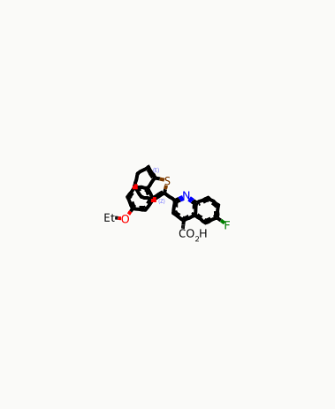 CCOc1ccc(/C2=C\CCC/C=C(/c3cc(C(=O)O)c4cc(F)ccc4n3)S2)cc1